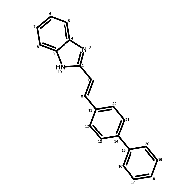 C(=Cc1nc2ccccc2[nH]1)c1ccc(-c2ccccc2)cc1